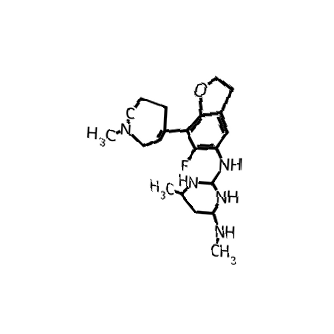 CNC1CC(C)NC(Nc2cc3c(c(C4=CCN(C)CCC4)c2F)OCC3)N1